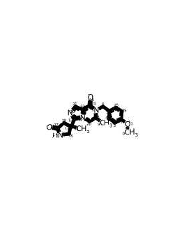 COc1ccc(Cn2c(C)cn3c(C4(C)CNC(=O)C4)ncc3c2=O)cc1